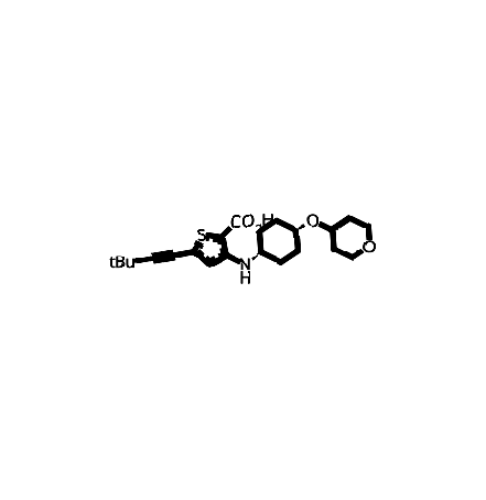 CC(C)(C)C#Cc1cc(N[C@H]2CC[C@@H](OC3CCOCC3)CC2)c(C(=O)O)s1